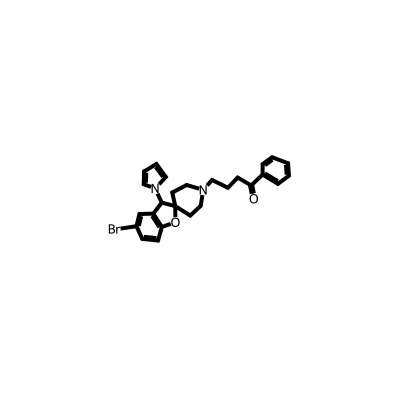 O=C(CCCN1CCC2(CC1)Oc1ccc(Br)cc1C2n1cccc1)c1ccccc1